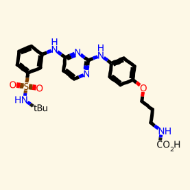 CC(C)(C)NS(=O)(=O)c1cccc(Nc2ccnc(Nc3ccc(OCCCNC(=O)O)cc3)n2)c1